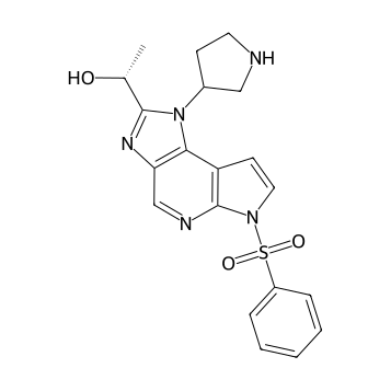 C[C@@H](O)c1nc2cnc3c(ccn3S(=O)(=O)c3ccccc3)c2n1C1CCNC1